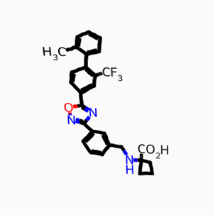 Cc1ccccc1-c1ccc(-c2nc(-c3cccc(CNC4(C(=O)O)CCC4)c3)no2)cc1C(F)(F)F